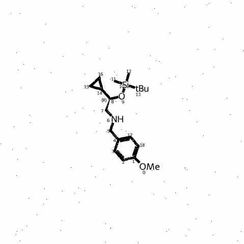 COc1ccc(CNC[C@H](O[Si](C)(C)C(C)(C)C)C2CC2)cc1